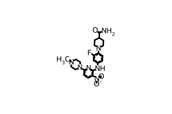 CN1CCN(c2ccc([N+](=O)[O-])c(Nc3ccc(N4CCC(C(N)=O)CC4)c(F)c3)n2)CC1